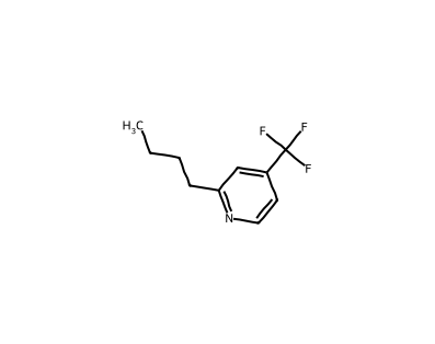 CCCCc1cc(C(F)(F)F)ccn1